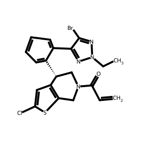 C=CC(=O)N1Cc2sc(Cl)cc2[C@H](c2ccccc2-c2nn(CC)nc2Br)C1